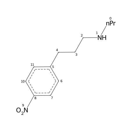 CCCNCCCc1ccc([N+](=O)[O-])cc1